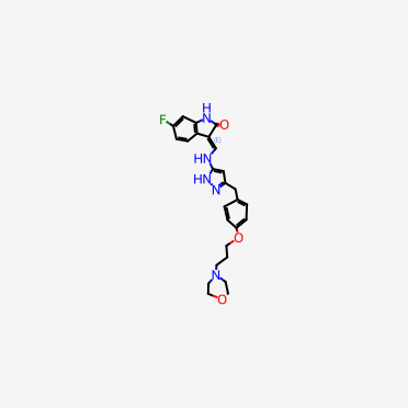 O=C1Nc2cc(F)ccc2/C1=C\Nc1cc(Cc2ccc(OCCCN3CCOCC3)cc2)n[nH]1